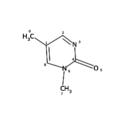 Cc1cnc(=O)n(C)c1